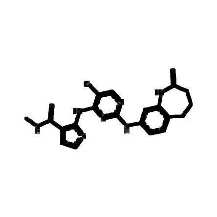 CNC(=O)c1ccsc1Nc1nc(Nc2ccc3c(c2)NC(=O)CCC3)ncc1Cl